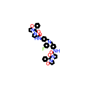 O=C(Nc1ccc(CN(Cc2ccc(NC(=O)[C@@H]3CCCN3C(=O)[C@@H](c3ccccc3)N3CCCC3=O)cc2)c2ccc(F)cc2)cc1)[C@@H]1CCCN1C(=O)[C@@H](c1ccccc1)N1CCCC1=O